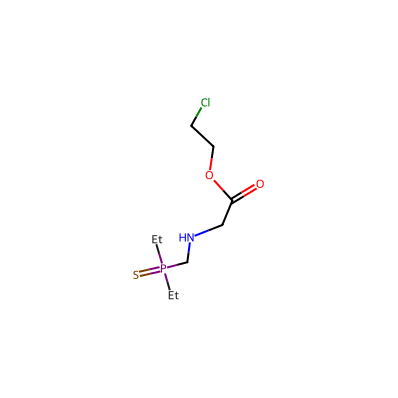 CCP(=S)(CC)CNCC(=O)OCCCl